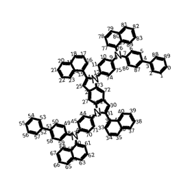 c1ccc(-c2ccc(N(c3ccc(-n4c(-c5cccc6ccccc56)cc5cc6c(cc(-c7cccc8ccccc78)n6-c6ccc(N(c7ccc(-c8ccccc8)cc7)c7cccc8ccccc78)cc6)cc54)cc3)c3cccc4ccccc34)cc2)cc1